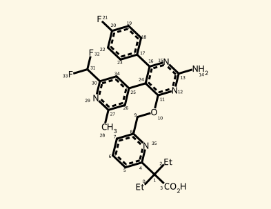 CCC(CC)(C(=O)O)c1cccc(COc2nc(N)nc(-c3ccc(F)cc3)c2-c2cc(C)nc(C(F)F)c2)n1